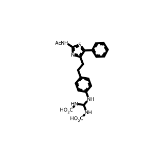 CC(=O)Nc1nc(CCc2ccc(NC(NC(=O)O)NC(=O)O)cc2)c(-c2ccccc2)s1